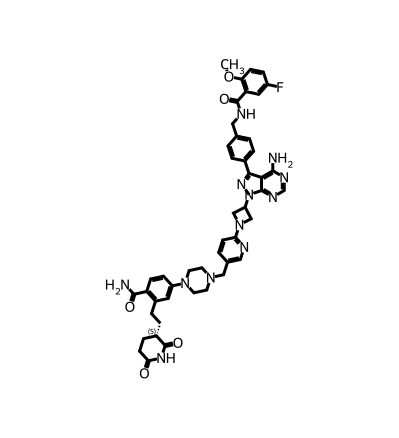 COc1ccc(F)cc1C(=O)NCc1ccc(-c2nn(C3CN(c4ccc(CN5CCN(c6ccc(C(N)=O)c(CC[C@H]7CCC(=O)NC7=O)c6)CC5)cn4)C3)c3ncnc(N)c23)cc1